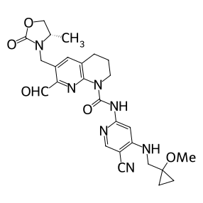 COC1(CNc2cc(NC(=O)N3CCCc4cc(CN5C(=O)OC[C@@H]5C)c(C=O)nc43)ncc2C#N)CC1